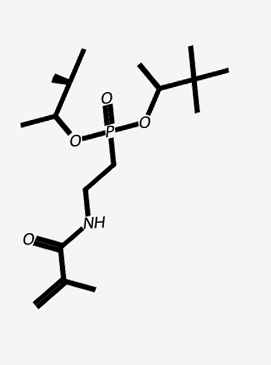 C=C(C)C(=O)NCCP(=O)(OC(C)C(C)(C)C)OC(C)C(C)(C)C